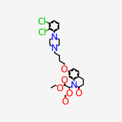 CCOC(=O)C(OC=O)N1C(=O)CCc2ccc(OCCCCN3CCN(c4cccc(Cl)c4Cl)CC3)cc21